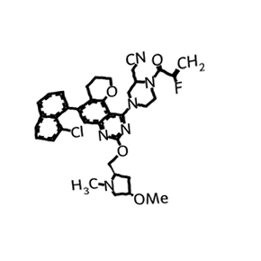 C=C(F)C(=O)N1CCN(c2nc(OC[C@H]3C[C@@H](OC)CN3C)nc3cc(-c4cccc5cccc(Cl)c45)c4c(c23)OCCC4)CC1CC#N